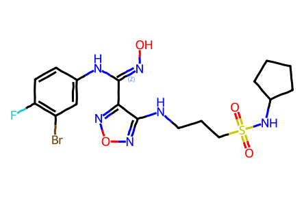 O=S(=O)(CCCNc1nonc1/C(=N/O)Nc1ccc(F)c(Br)c1)NC1CCCC1